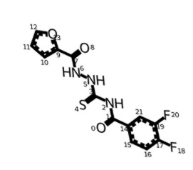 O=C(NC(=S)NNC(=O)c1ccco1)c1ccc(F)c(F)c1